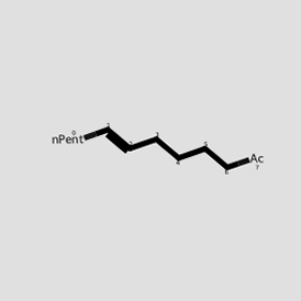 CCCCCC=CCCCCC(C)=O